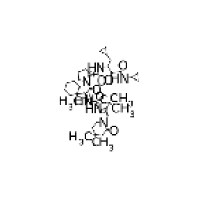 CC1(C)CCN(C[C@@H](NC(=O)N[C@H](C(=O)N2CCC[C@H]2C(=O)NC(CC2CC2)C(=O)C(=O)NC2CC2)C2(C)CCCCC2)C(C)(C)C)C(=O)C1